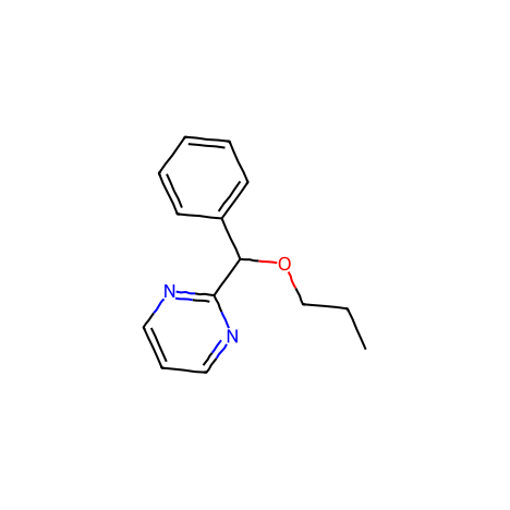 CCCOC(c1ccccc1)c1ncccn1